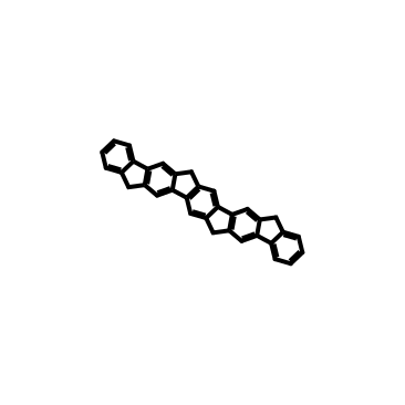 c1ccc2c(c1)Cc1cc3c(cc1-2)Cc1cc2c(cc1-3)Cc1cc3c(cc1-2)Cc1ccccc1-3